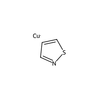 [Cu].c1cnsc1